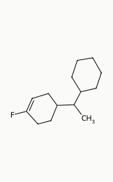 CC(C1CC=C(F)CC1)C1CCCCC1